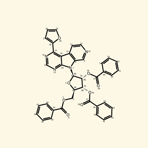 O=C(OC[C@H]1O[C@@H](n2c3cnccc3c3c(-c4ccco4)ncnc32)[C@H](OC(=O)c2ccccc2)[C@@H]1OC(=O)c1ccccc1)c1ccccc1